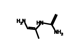 C=C(N)N/C(C)=C\N